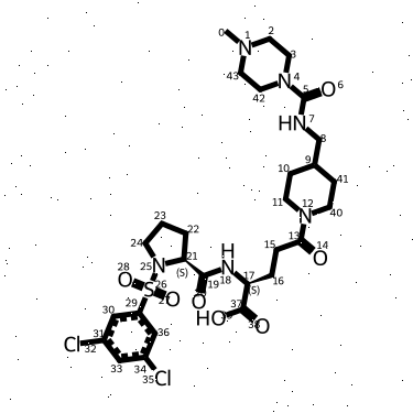 CN1CCN(C(=O)NCC2CCN(C(=O)CC[C@H](NC(=O)[C@@H]3CCCN3S(=O)(=O)c3cc(Cl)cc(Cl)c3)C(=O)O)CC2)CC1